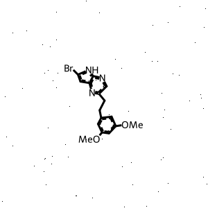 COc1cc(CCc2cnc3[nH]c(Br)cc3n2)cc(OC)c1